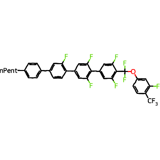 CCCCCc1ccc(-c2ccc(-c3cc(F)c(-c4cc(F)c(C(F)(F)Oc5ccc(C(F)(F)F)c(F)c5)c(F)c4)c(F)c3)c(F)c2)cc1